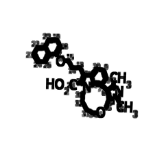 Cc1nn(C)c2c1-c1cccc3c(CCCOc4cccc5ccccc45)c(C(=O)O)n(c13)CCCCOC2